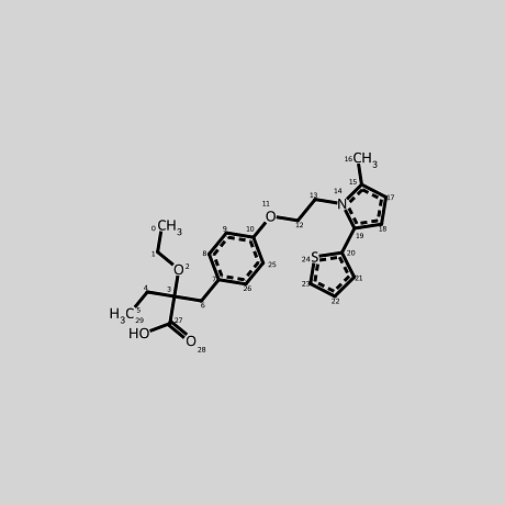 CCOC(CC)(Cc1ccc(OCCn2c(C)ccc2-c2cccs2)cc1)C(=O)O